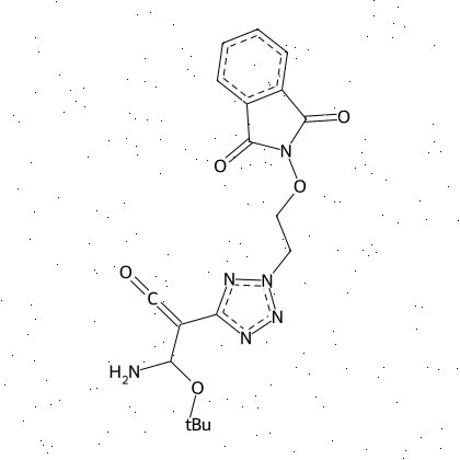 CC(C)(C)OC(N)C(=C=O)c1nnn(CCON2C(=O)c3ccccc3C2=O)n1